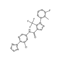 Cc1c(F)cccc1-n1ncc(C(=O)Nc2cnc(-n3nccn3)c(Cl)c2)c1C(F)(F)F